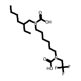 CCCCC(CC)CN(CCCCCCN(CC(F)(F)F)C(=O)O)C(=O)O